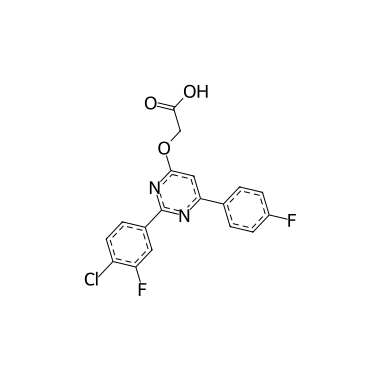 O=C(O)COc1cc(-c2ccc(F)cc2)nc(-c2ccc(Cl)c(F)c2)n1